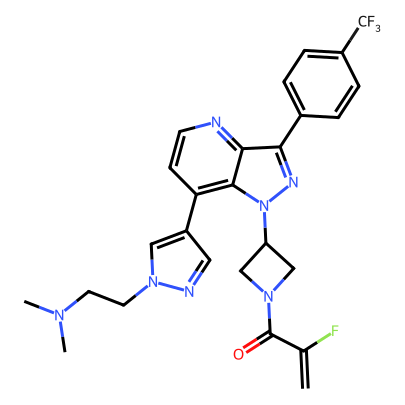 C=C(F)C(=O)N1CC(n2nc(-c3ccc(C(F)(F)F)cc3)c3nccc(-c4cnn(CCN(C)C)c4)c32)C1